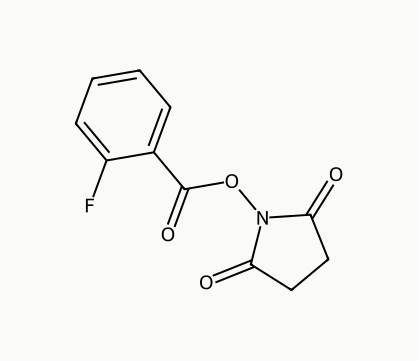 O=C(ON1C(=O)CCC1=O)c1ccccc1F